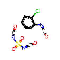 O=C=NS(=O)(=O)N=C=O.O=C=Nc1ccccc1Cl